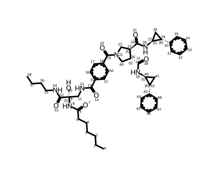 CCCCCCC(=O)N[C@](O)(CNC(=O)c1ccc(C(=O)N2C[C@@H](C(=O)N[C@H]3C[C@@H]3c3ccccc3)[C@H](C(=O)N[C@H]3C[C@@H]3c3ccccc3)C2)cc1)C(=O)NCCCC